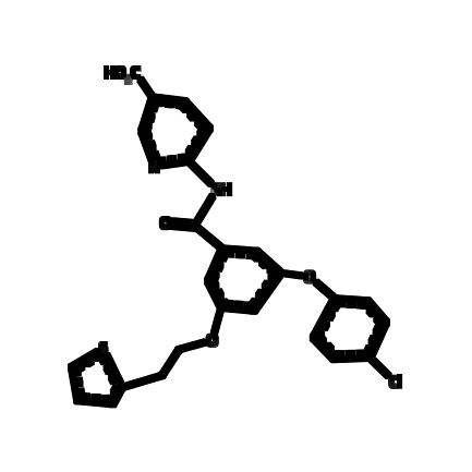 O=C(O)c1ccc(NC(=O)c2cc(OCCc3cccs3)cc(Oc3ccc(Cl)cc3)c2)nc1